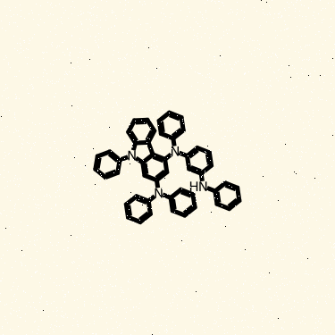 c1ccc(Nc2cccc(N(c3ccccc3)c3cc(N(c4ccccc4)c4ccccc4)cc4c3c3ccccc3n4-c3ccccc3)c2)cc1